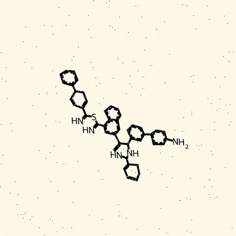 N=C(SC(=N)c1cc(C2=CNC(C3=CC=CCC3)NC2c2cccc(-c3ccc(N)cc3)c2)cc2ccccc12)C1=CCC(c2ccccc2)C=C1